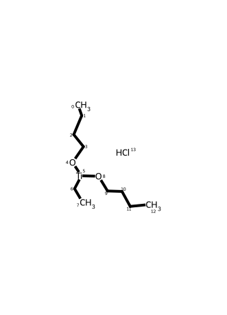 CCCC[O][Ti]([CH2]C)[O]CCCC.Cl